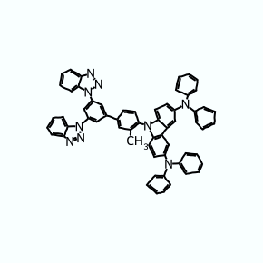 Cc1cc(-c2cc(-n3nnc4ccccc43)cc(-n3nnc4ccccc43)c2)ccc1-n1c2ccc(N(c3ccccc3)c3ccccc3)cc2c2cc(N(c3ccccc3)c3ccccc3)ccc21